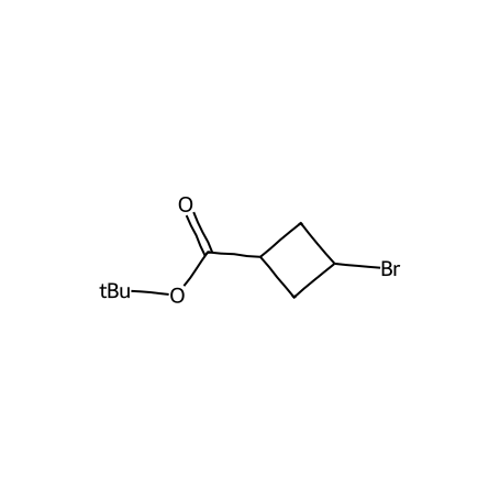 CC(C)(C)OC(=O)C1CC(Br)C1